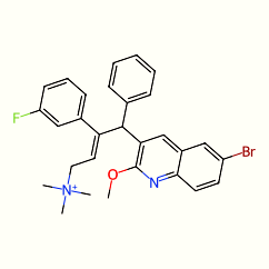 COc1nc2ccc(Br)cc2cc1C(/C(=C/C[N+](C)(C)C)c1cccc(F)c1)c1ccccc1